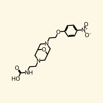 O=C(O)NCCN1CC2CN(CCOc3ccc([N+](=O)[O-])cc3)CC(C1)O2